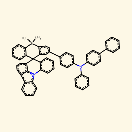 C[Si]1(C)c2ccccc2C2(c3ccccc3-n3c4ccccc4c4cccc2c43)c2cc(-c3ccc(N(c4ccccc4)c4ccc(-c5ccccc5)cc4)cc3)ccc21